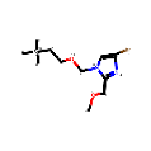 COCc1nc(Br)cn1COCC[Si](C)(C)C